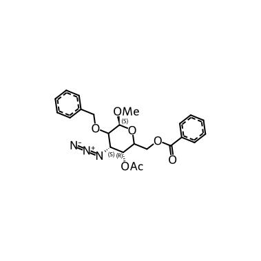 CO[C@H]1OC(COC(=O)c2ccccc2)[C@H](OC(C)=O)[C@H](N=[N+]=[N-])C1OCc1ccccc1